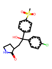 CS(=O)(=O)c1ccc(C(O)(CC2CCNC2=O)c2ccc(Cl)cc2)cc1